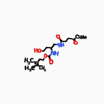 COC(=O)CCC(=O)NCC(CCO)NC(=O)OCC[Si](C)(C)C